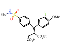 CCOC(=O)/C(CC(=O)O)=C(/c1ccc(S(=O)(=O)NC(C)(C)C)cc1)c1ccc(OC)c(F)c1